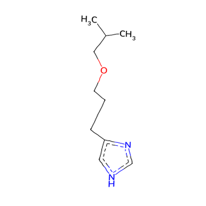 CC(C)COCCCc1c[nH]cn1